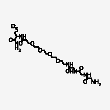 CCSCC(NC(=O)CCOCCOCCOCCOCCNC(=O)CNC(=O)CNC(=O)CN)C(N)=O